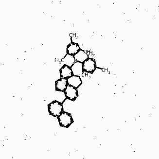 Cc1cc(C)c(B(c2ccc3ccc4c(-c5cccc6ccccc56)ccc5c4c3c2CC5)c2c(C)cc(C)cc2C)c(C)c1